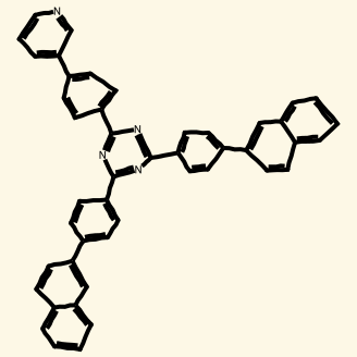 c1cncc(-c2ccc(-c3nc(-c4ccc(-c5ccc6ccccc6c5)cc4)nc(-c4ccc(-c5ccc6ccccc6c5)cc4)n3)cc2)c1